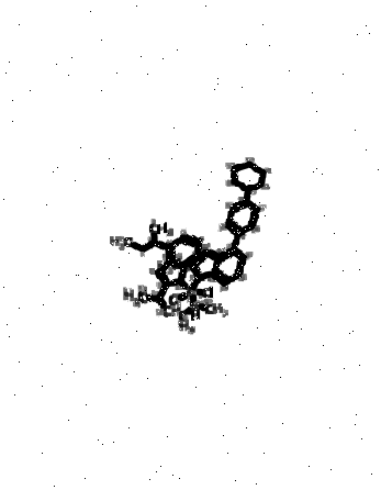 CCC(C)c1cccc2c1C=C(C(C)C)[CH]2[Zr]([Cl])([Cl])([CH]1C(C)=Cc2c(-c3ccc(C4CCCCC4)cc3)cccc21)[SiH](C)C